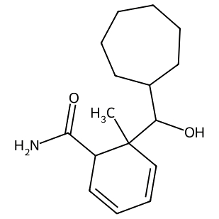 CC1(C(O)C2CCCCCC2)C=CC=CC1C(N)=O